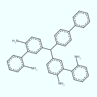 Nc1ccccc1-c1cc(C(c2ccc(-c3ccccc3)cc2)c2ccc(N)c(-c3ccccc3N)c2)ccc1N